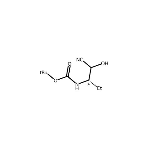 CC[C@H](NC(=O)OC(C)(C)C)C(O)C#N